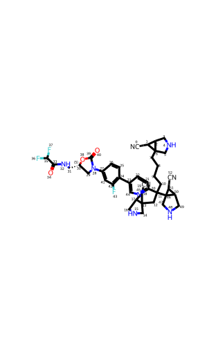 N#CC1C2CNCC12CCCCC(CC12CNCC1C2C#N)(c1ccc(-c2ccc(N3C[C@H](CNC(=O)C(F)F)OC3=O)cc2F)cn1)C12CNCC1C2C#N